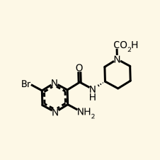 Nc1ncc(Br)nc1C(=O)N[C@H]1CCCN(C(=O)O)C1